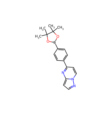 CC1(C)OB(c2ccc(-c3ccn4nccc4n3)cc2)OC1(C)C